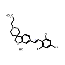 CCCCc1cc(Cl)c(/C=C/c2ccc3c(c2)OCC32CCN(CCC(=O)O)CC2)c(Cl)c1.Cl